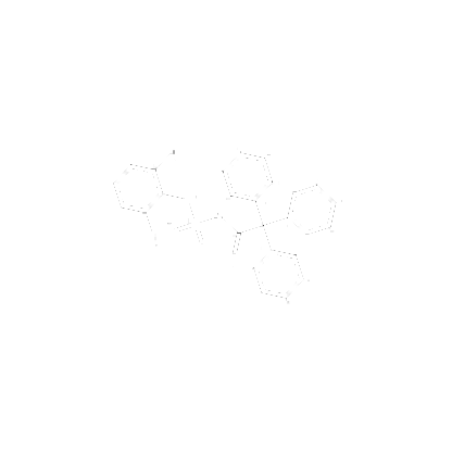 CC(C)c1cccc(C(C)C)c1OS(=O)(=O)NC(=O)C(c1ccccc1)(c1ccccc1)c1ccccc1